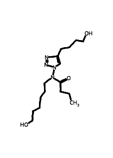 CCCC(=O)N(CCCCCCO)n1cc(CCCCO)nn1